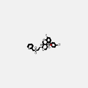 O=S(=O)(CC[C@@H]1OCC[C@@]2(S(=O)(=O)c3ccc(Cl)cc3)c3c(F)ccc(F)c3OC[C@@H]12)Cc1ccccn1